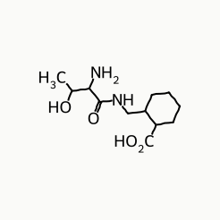 CC(O)C(N)C(=O)NCC1CCCCC1C(=O)O